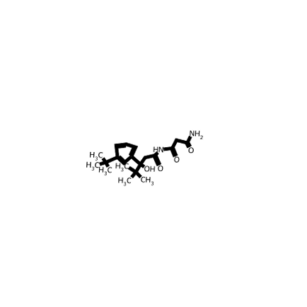 CC(C)(C)c1cccc(C(O)(CC(=O)NC(=O)CC(N)=O)C(C)(C)C)c1